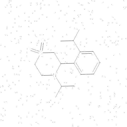 CC(C)c1ccccc1C1CS(=O)(=O)CCN1C(C)C